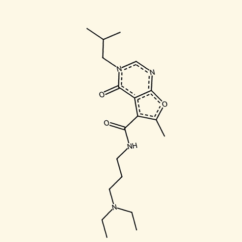 CCN(CC)CCCNC(=O)c1c(C)oc2ncn(CC(C)C)c(=O)c12